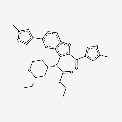 CCOC(=O)N(c1c(C(=O)c2cnn(C)c2)oc2ccc(-c3cnn(C)c3)cc12)[C@H]1CCO[C@@H](CC)C1